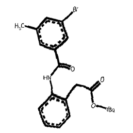 Cc1cc(Br)cc(C(=O)Nc2ccccc2CC(=O)OC(C)(C)C)c1